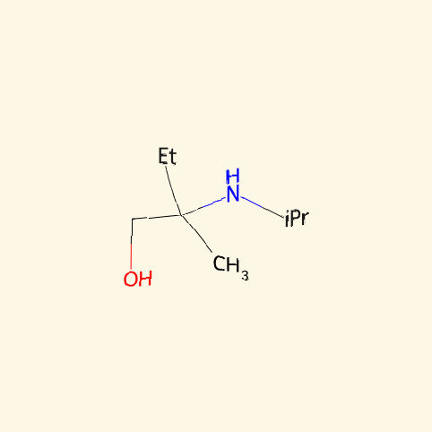 CCC(C)(CO)NC(C)C